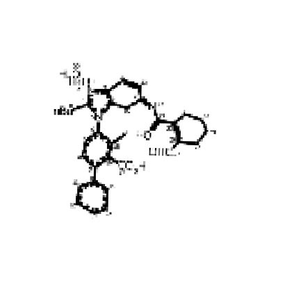 CCCCc1nc2c(n1-c1ccc(-c3ccccc3)c(C(=O)O)c1C)CC(=NC(=O)C1=C(C=O)CCCC1)C=C2.O.O